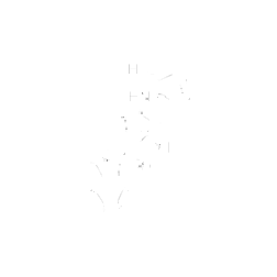 Cc1ccccc1Nc1ccc(C(=O)c2occ3ccccc23)c(Cl)c1